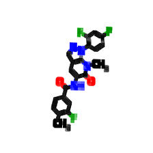 Cc1ccc(C(=O)Nc2cc3cnn(-c4ccc(F)cc4F)c3n(C)c2=O)cc1F